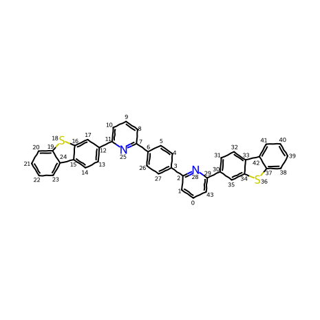 c1cc(-c2ccc(-c3cccc(-c4ccc5c(c4)sc4ccccc45)n3)cc2)nc(-c2ccc3c(c2)sc2ccccc23)c1